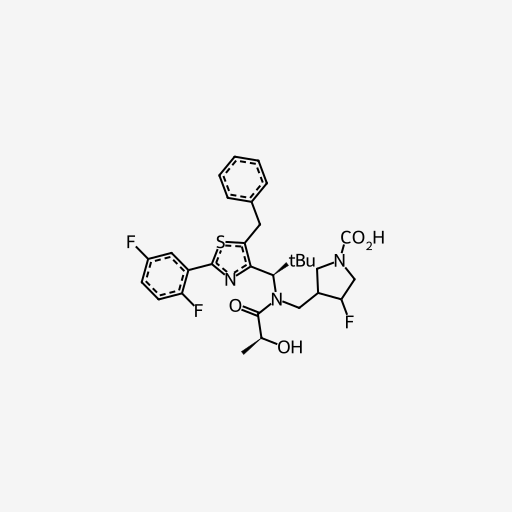 C[C@H](O)C(=O)N(CC1CN(C(=O)O)CC1F)[C@@H](c1nc(-c2cc(F)ccc2F)sc1Cc1ccccc1)C(C)(C)C